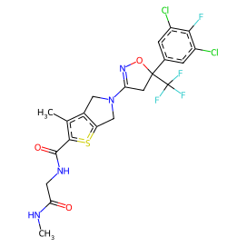 CNC(=O)CNC(=O)c1sc2c(c1C)CN(C1=NOC(c3cc(Cl)c(F)c(Cl)c3)(C(F)(F)F)C1)C2